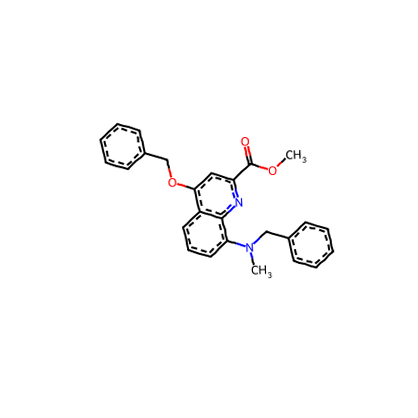 COC(=O)c1cc(OCc2ccccc2)c2cccc(N(C)Cc3ccccc3)c2n1